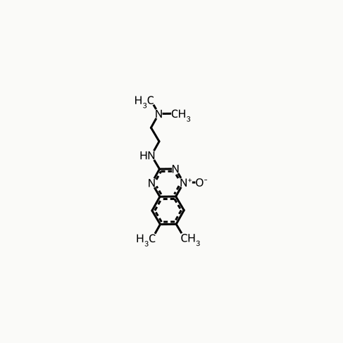 Cc1cc2nc(NCCN(C)C)n[n+]([O-])c2cc1C